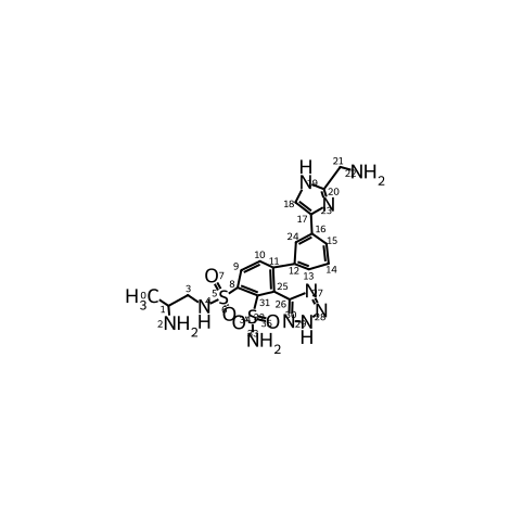 CC(N)CNS(=O)(=O)c1ccc(-c2cccc(-c3c[nH]c(CN)n3)c2)c(-c2nn[nH]n2)c1S(N)(=O)=O